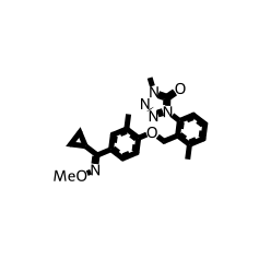 CON=C(c1ccc(OCc2c(C)cccc2-n2nnn(C)c2=O)c(C)c1)C1CC1